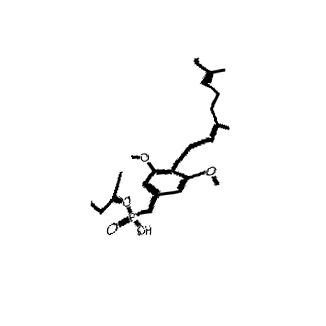 CCC(C)OP(=O)(O)Cc1cc(OC)c(CC=C(C)CCC=C(C)C)c(OC)c1